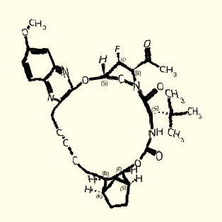 COc1ccc2nc3c(nc2c1)O[C@H]1CN(C(=O)[C@H](C(C)(C)C)NC(=O)O[C@@H]2[C@H]4CC[C@H](C4)[C@H]2CCCCC3)[C@H](C(C)=O)[C@@H]1F